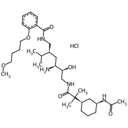 COCCCCOc1ccccc1C(=O)NC[C@@H](C[C@H](N)[C@@H](O)CNC(=O)C(C)(C)[C@@H]1CCC[C@H](NC(C)=O)C1)C(C)C.Cl